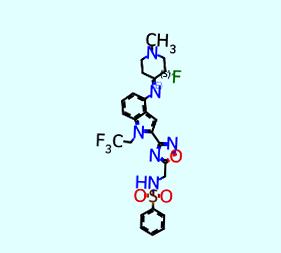 CN1CC/C(=N\c2cccc3c2cc(-c2noc(CNS(=O)(=O)c4ccccc4)n2)n3CC(F)(F)F)[C@@H](F)C1